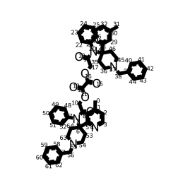 Cc1ccnc(C2(N(C(=O)COC(=O)C(=O)OCC(=O)N(c3ccccc3)C3(c4cc(C)ccn4)CCN(Cc4ccccc4)CC3)c3ccccc3)CCN(Cc3ccccc3)CC2)c1